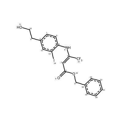 O=C(C=C(Nc1ccc(CCO)cc1I)C(F)(F)F)OCc1ccccc1